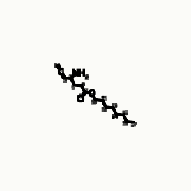 C=C=CC(N)CCC(=O)OCCCCCCCC